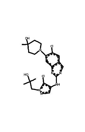 CC(C)(O)Cn1ncc(Nc2ncc3cc(Cl)c(N4CCC(C)(O)CC4)cc3n2)c1Cl